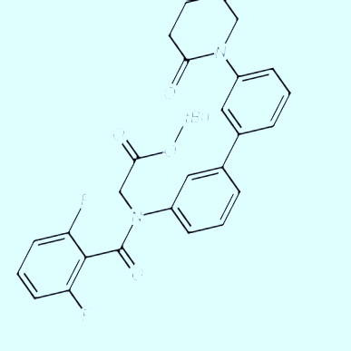 CC(C)(C)OC(=O)CN(C(=O)c1c(F)cccc1F)c1cccc(-c2cccc(N3CCCCC3=O)c2)c1